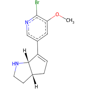 COc1cc(C2=CC[C@@H]3CCN[C@H]23)cnc1Br